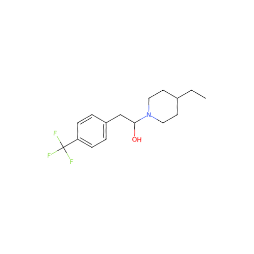 CCC1CCN(C(O)Cc2ccc(C(F)(F)F)cc2)CC1